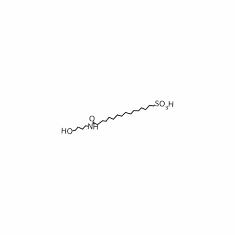 O=C(CCCCCCCCCCCCCCCS(=O)(=O)O)NCCCCO